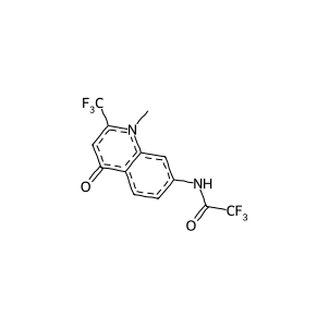 Cn1c(C(F)(F)F)cc(=O)c2ccc(NC(=O)C(F)(F)F)cc21